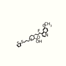 COc1ccc2nccc([C@H](F)CC[C@@H]3CCN(CCCSc4cccs4)C[C@@H]3C(=O)O)c2c1